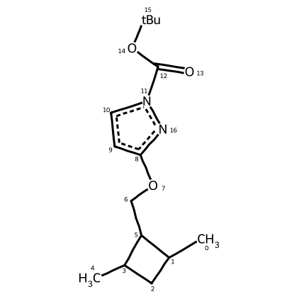 CC1CC(C)C1COc1ccn(C(=O)OC(C)(C)C)n1